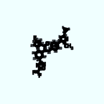 Cn1nc(C2CC2)cc1C12CCC(CN(C(=O)C3CC4(F)CC3C4)c3cccc(-c4noc(C(F)F)n4)c3)(CC1)CC2